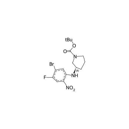 CC(C)(C)OC(=O)N1CCC[C@@H](Nc2cc(Br)c(F)cc2[N+](=O)[O-])C1